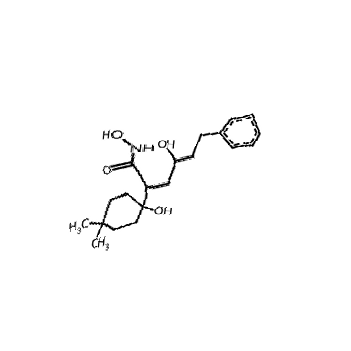 CC1(C)CCC(O)(C(CC(O)CCc2ccccc2)C(=O)NO)CC1